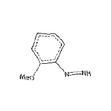 COc1ccccc1N=N